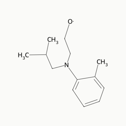 Cc1ccccc1N(CC[O])CC(C)C